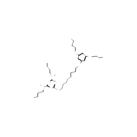 CCCCOc1cc(OCCCC)cc(OCCCCCCCCN(C)c2nc(N(C)CCCC)nc(N(C)CCCC)n2)c1